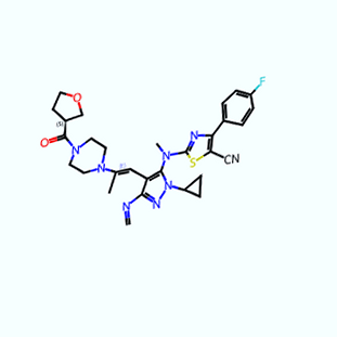 C=Nc1nn(C2CC2)c(N(C)c2nc(-c3ccc(F)cc3)c(C#N)s2)c1/C=C(\C)N1CCN(C(=O)[C@H]2CCOC2)CC1